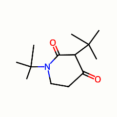 CC(C)(C)C1C(=O)CCN(C(C)(C)C)C1=O